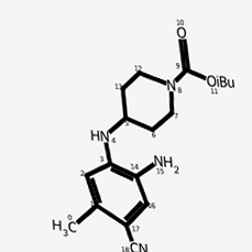 Cc1cc(NC2CCN(C(=O)OCC(C)C)CC2)c(N)cc1C#N